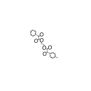 Cc1ccc(C(=O)C(=O)OCCOC(=O)C(=O)c2ccccc2)cc1